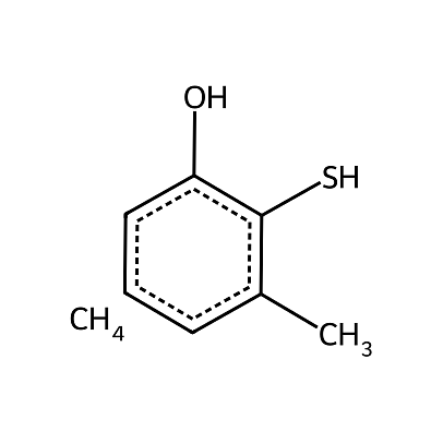 C.Cc1cccc(O)c1S